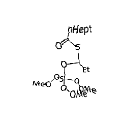 CCCCCCCC(=O)SC(CC)O[Si](OOC)(OOC)OOC